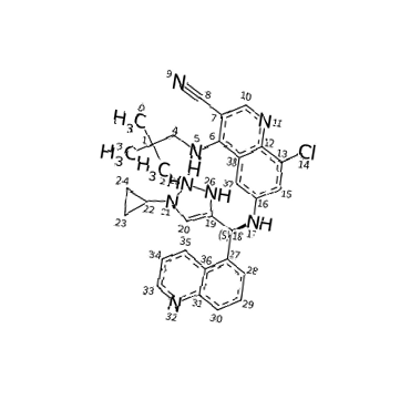 CC(C)(C)CNc1c(C#N)cnc2c(Cl)cc(N[C@H](C3=CN(C4CC4)NN3)c3cccc4ncccc34)cc12